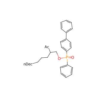 CCCCCCCCCCCCCC(COP(=O)(c1ccccc1)c1ccc(-c2ccccc2)cc1)C(C)=O